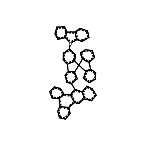 c1ccc2c(c1)-c1ccccc1C21c2cc(-c3c4ccccc4cc4c5ccccc5c5ccccc5c34)ccc2-c2ccc(-n3c4ccccc4c4ccccc43)cc21